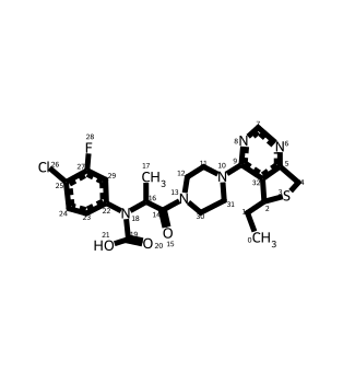 CCC1SCc2ncnc(N3CCN(C(=O)C(C)N(C(=O)O)c4ccc(Cl)c(F)c4)CC3)c21